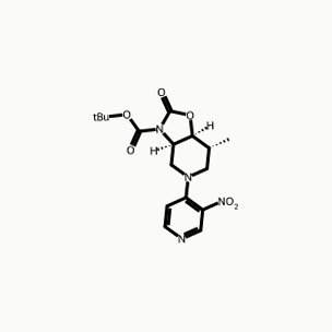 C[C@@H]1CN(c2ccncc2[N+](=O)[O-])C[C@@H]2[C@H]1OC(=O)N2C(=O)OC(C)(C)C